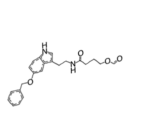 O=COCCCC(=O)NCCc1c[nH]c2ccc(OCc3ccccc3)cc12